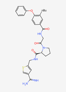 CCCCc1cc(C(=O)NCC(=O)N2CCC[C@H]2C(=O)NCc2cc(C(=N)N)cs2)ccc1Oc1ccccc1